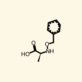 C[C@H](NOCc1ccccc1)C(=O)O